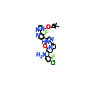 C[Si](C)(C)CCOCn1ccnc1-c1nccc(-c2cnc([C@@H]3CCC4CC(c5c(N)ccc(Cl)c5F)=CC(=O)N43)[nH]2)c1F